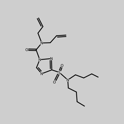 C=CCN(CC=C)C(=O)n1cnc(S(=O)(=O)N(CCCC)CCCC)n1